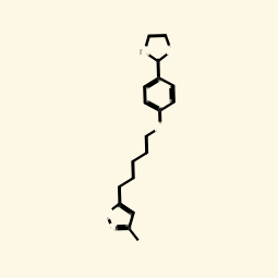 Cc1cc(CCCCCOc2ccc(C3NCCS3)cc2)on1